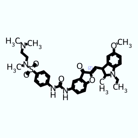 CCN1c2ccc(OC)cc2C(/C=C2\Oc3ccc(NC(=O)Nc4ccc(S(=O)(=O)N(C)CCN(C)C)cc4)cc3C2=O)C1C